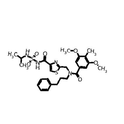 COc1cc(C(=O)N(CCCc2ccccc2)Cc2nc(C(=O)NS(=O)(=O)NC(C)C)cs2)cc(OC)c1C